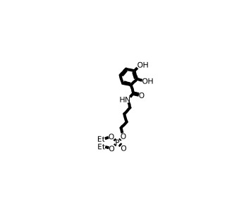 CCOP(=O)(OCC)OCCCCNC(=O)c1cccc(O)c1O